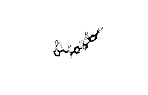 C#Cc1ccc(-c2cnn(-c3ccc(C(=O)NCCC4CCCN4C)cn3)c2O)c(C)c1